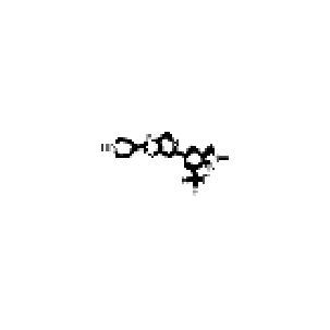 Cn1cc2cc(-c3cc4sc(C5CCNCC5)nc4cn3)cc(C(F)(F)F)c2n1